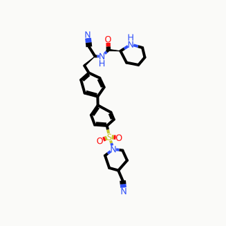 N#CC1CCN(S(=O)(=O)c2ccc(-c3ccc(C[C@@H](C#N)NC(=O)[C@@H]4CCCCN4)cc3)cc2)CC1